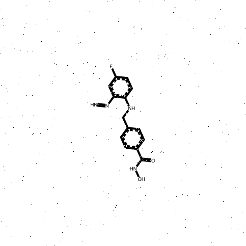 N=Nc1cc(F)ccc1NCc1ccc(C(=O)NO)cc1